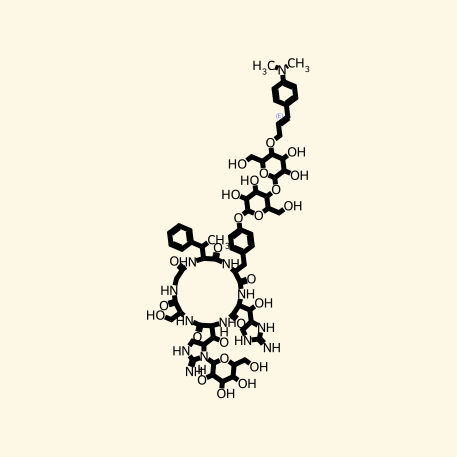 CC(c1ccccc1)C1NC(=O)CNC(=O)C(CO)NC(=O)C(C(O)C2CNC(=N)N2C2OC(CO)C(O)C(O)C2O)NC(=O)C(C(O)C2CNC(=N)N2)NC(=O)C(Cc2ccc(OC3OC(CO)C(OC4OC(CO)C(OC/C=C/c5ccc(N(C)C)cc5)C(O)C4O)C(O)C3O)cc2)NC1=O